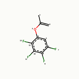 C=C(C)Oc1cc(F)c(F)c(F)c1F